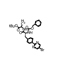 CC(NC(=O)[C@H](Cc1ccc(-c2ncc(Br)cn2)cc1)NC(=O)OCc1ccccc1)C(=O)OC(C)(C)C